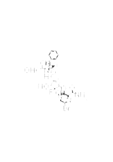 CC(C=O)NP(=O)(OC[C@H]1O[C@@H](Oc2ncc(Br)nc2C(N)=O)[C@](C)(F)[C@@H]1O)Oc1ccccc1